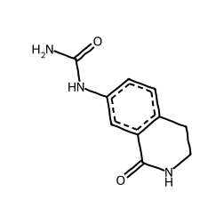 NC(=O)Nc1ccc2c(c1)C(=O)NCC2